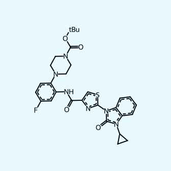 CC(C)(C)OC(=O)N1CCN(c2ccc(F)cc2NC(=O)c2csc(-n3c(=O)n(C4CC4)c4ccccc43)n2)CC1